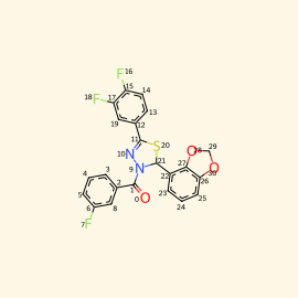 O=C(c1cccc(F)c1)N1N=C(c2ccc(F)c(F)c2)SC1c1cccc2c1OCO2